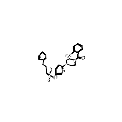 O=C(c1ccccc1C(F)(F)F)N1CCN(c2ccc(NS(=O)(=O)CCCc3ccccc3)cn2)CC1